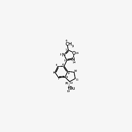 Cc1nc(-c2cccc3c2CC[C@@H]3C(C)(C)C)no1